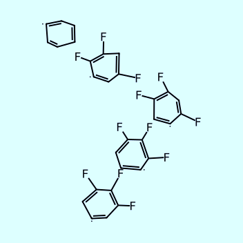 Fc1[c]cc(F)c(F)c1.Fc1[c]ccc(F)c1F.Fc1c[c]c(F)c(F)c1.Fc1c[c]cc(F)c1F.[c]1ccccc1